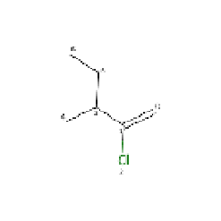 C=C(Cl)C(C)CC